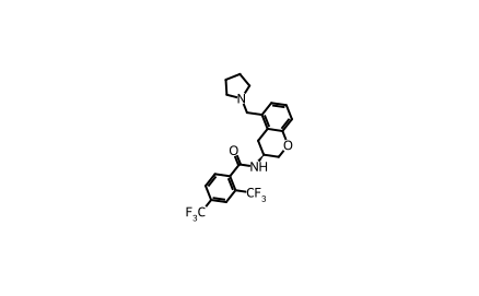 O=C(N[C@@H]1COc2cccc(CN3CCCC3)c2C1)c1ccc(C(F)(F)F)cc1C(F)(F)F